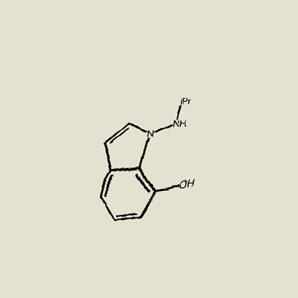 CC(C)Nn1ccc2cccc(O)c21